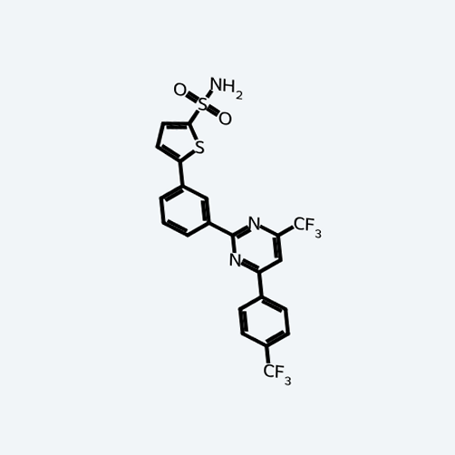 NS(=O)(=O)c1ccc(-c2cccc(-c3nc(-c4ccc(C(F)(F)F)cc4)cc(C(F)(F)F)n3)c2)s1